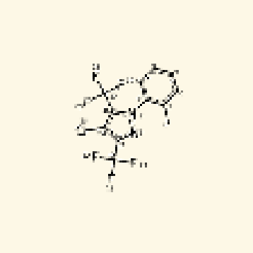 Cc1ccccc1-n1nc(C(F)(F)F)c(Cl)c1C(F)(F)F